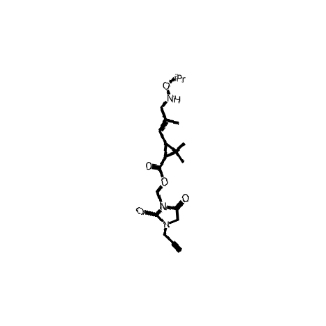 C#CCN1CC(=O)N(COC(=O)C2C(/C=C(\C)CNOC(C)C)C2(C)C)C1=O